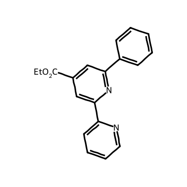 CCOC(=O)c1cc(-c2ccccc2)nc(-c2ccccn2)c1